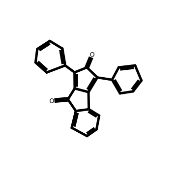 O=c1c(-c2ccccc2)c2c(=O)c3ccccc3c-2c1-c1ccccc1